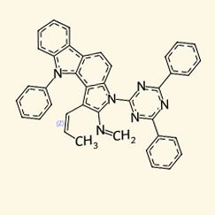 C=Nc1c(/C=C\C)c2c(ccc3c4ccccc4n(-c4ccccc4)c32)n1-c1nc(-c2ccccc2)nc(-c2ccccc2)n1